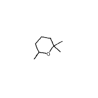 C[C]1CCCC(C)(C)O1